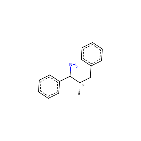 C[C@@H](Cc1ccccc1)C(N)c1ccccc1